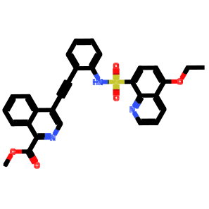 CCOc1ccc(S(=O)(=O)Nc2ccccc2C#Cc2cnc(C(=O)OC)c3ccccc23)c2ncccc12